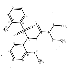 CCN(CC)C(=O)CN(c1ccccc1OC)S(=O)(=O)c1ccccc1C